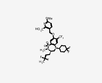 COc1ccc(COc2cc3c(cc2C(F)(F)F)N(C2CCC(F)(F)CC2)C[C@@H](CCC(C)(F)F)N(C)S3(=O)=O)c(C(=O)O)n1